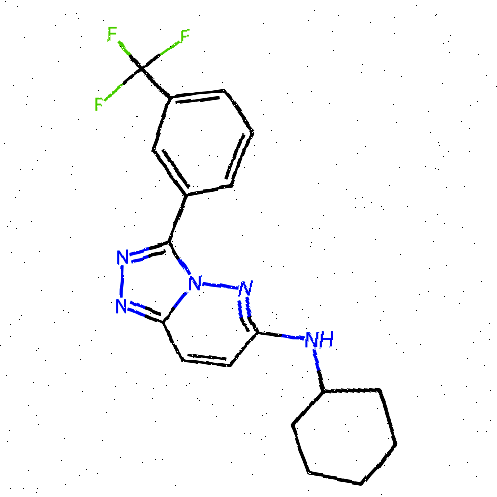 FC(F)(F)c1cccc(-c2nnc3ccc(NC4CCCCC4)nn23)c1